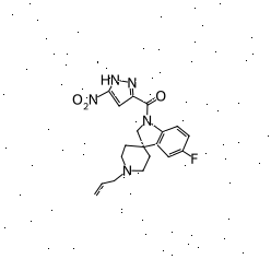 C=CCN1CCC2(CC1)CN(C(=O)c1cc([N+](=O)[O-])[nH]n1)c1ccc(F)cc12